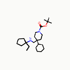 CCC1(NCC2(C3CCCCC3)CCN(C(=O)OC(C)(C)C)CC2)CCCC1